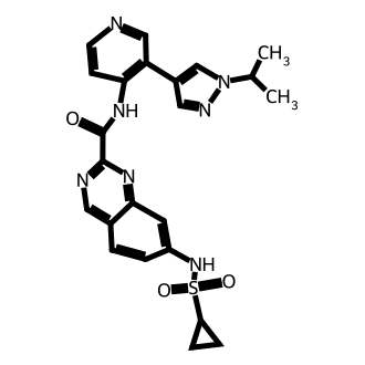 CC(C)n1cc(-c2cnccc2NC(=O)c2ncc3ccc(NS(=O)(=O)C4CC4)cc3n2)cn1